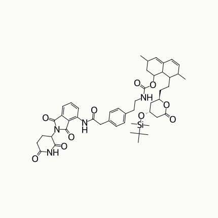 CC1C=C2C=CC(C)C(CC[C@@H]3C[C@@H](O[Si](C)(C)C(C)(C)C)CC(=O)O3)C2C(OC(=O)NCCc2ccc(CC(=O)Nc3cccc4c3C(=O)N(C3CCC(=O)NC3=O)C4=O)cc2)C1